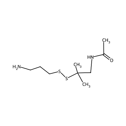 CC(=O)NCC(C)(C)SSCCCN